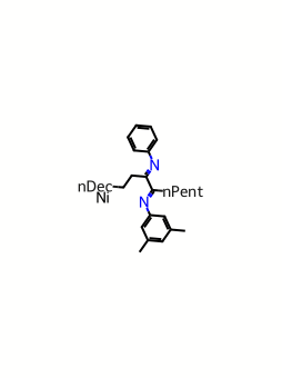 CCCCCCCCCCCCC(=N\c1ccccc1)/C(CCCCC)=N/c1cc(C)cc(C)c1.[Ni]